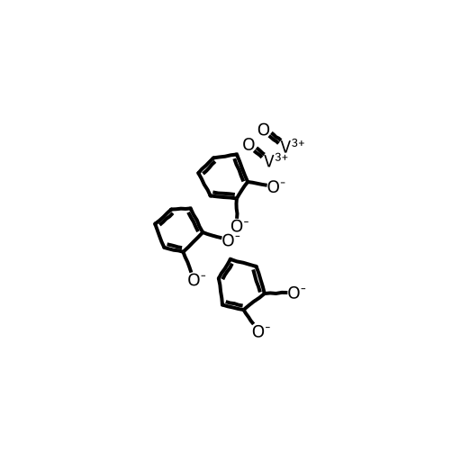 [O-]c1ccccc1[O-].[O-]c1ccccc1[O-].[O-]c1ccccc1[O-].[O]=[V+3].[O]=[V+3]